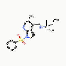 COC[C@](C)(NCc1c([N+](=O)[O-])cnc2c1ccn2S(=O)(=O)c1ccccc1)C(=O)O